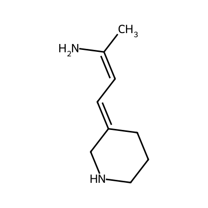 C/C(N)=C/C=C1\CCCNC1